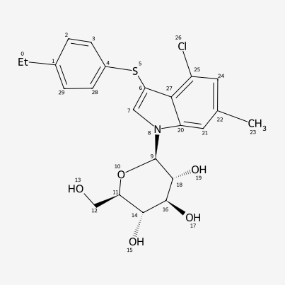 CCc1ccc(Sc2cn([C@@H]3O[C@H](CO)[C@@H](O)[C@H](O)[C@H]3O)c3cc(C)cc(Cl)c23)cc1